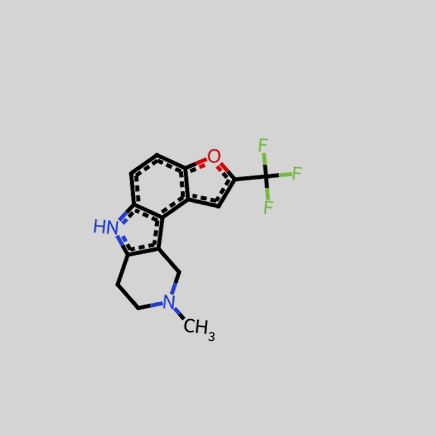 CN1CCc2[nH]c3ccc4oc(C(F)(F)F)cc4c3c2C1